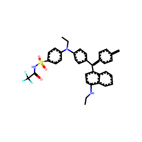 C=c1ccc(=C(c2ccc(N(CC)c3ccc(S(=O)(=O)NC(=O)C(F)(F)F)cc3)cc2)c2ccc(NCC)c3ccccc23)cc1